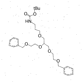 CC(C)(C)OC(=O)NCCCOCC(COCCOCc1ccccc1)OCCOCc1ccccc1